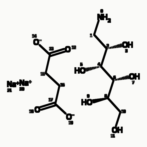 NC[C@H](O)[C@@H](O)[C@H](O)[C@H](O)CO.O=C([O-])CCC(=O)[O-].[Na+].[Na+]